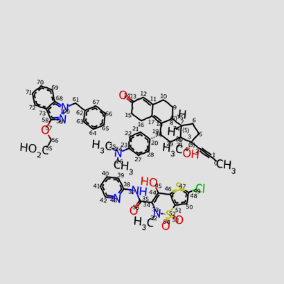 CC#C[C@]1(O)CC[C@H]2[C@@H]3CCC4=CC(=O)CCC4=C3[C@@H](c3ccc(N(C)C)cc3)C[C@@]21C.CN1C(C(=O)Nc2ccccn2)=C(O)c2sc(Cl)cc2S1(=O)=O.O=C(O)COc1nn(Cc2ccccc2)c2ccccc12